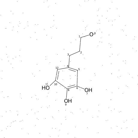 [O]CCCc1cc(O)c(O)c(O)c1